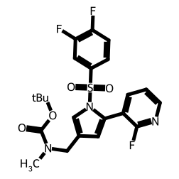 CN(Cc1cc(-c2cccnc2F)n(S(=O)(=O)c2ccc(F)c(F)c2)c1)C(=O)OC(C)(C)C